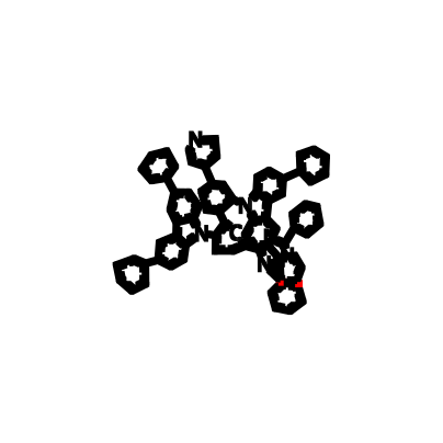 c1ccc(-c2ccc3c(c2)c2cc(-c4ccccc4)ccc2n3-c2ccc(-c3nc(-c4ccccc4)nc(-c4ccccc4)n3)cc2-c2ccc(-c3ccncc3)cc2-n2c3ccc(-c4ccccc4)cc3c3cc(-c4ccccc4)ccc32)cc1